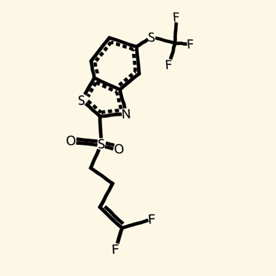 O=S(=O)(CCC=C(F)F)c1nc2cc(SC(F)(F)F)ccc2s1